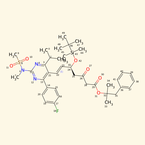 CC(C)c1nc(N(C)S(C)(=O)=O)nc(-c2ccc(F)cc2)c1/C=C/[C@H](CC(=O)CC(=O)OC(C)(C)Cc1ccccc1)O[Si](C)(C)C(C)(C)C